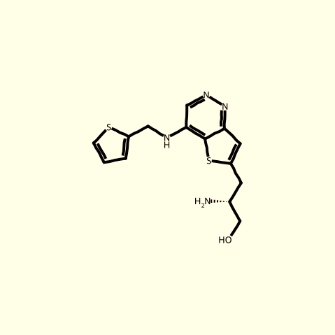 N[C@@H](CO)Cc1cc2nncc(NCc3cccs3)c2s1